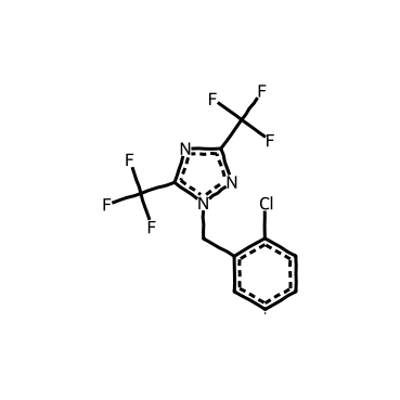 FC(F)(F)c1nc(C(F)(F)F)n(Cc2c[c]ccc2Cl)n1